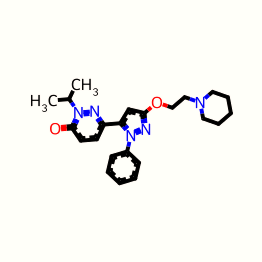 CC(C)n1nc(-c2cc(OCCN3CCCCC3)nn2-c2ccccc2)ccc1=O